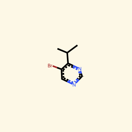 CC(C)c1n[c]ncc1Br